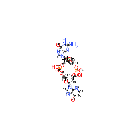 Nc1nc2c(ncn2[C@@H]2O[C@@H]3COP(=O)(O)O[C@H]4C[C@H](n5cnc6c5N=CCC6=O)O[C@@H]4COP(=O)(O)O[C@@H]2[C@@H]3F)c(=O)[nH]1